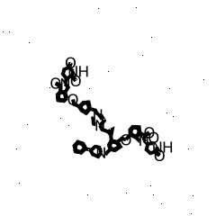 O=C1CCC(N2Cc3c(OCc4ccc(CN5CCN(CC6CC6c6cc(CN7CCC(c8ccccc8)CC7)ccc6COc6cccc7c6CN(C6CCC(=O)NC6=O)C7=O)CC5)cc4)cccc3C2=O)C(=O)N1